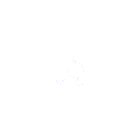 CN1CCC2(CC2)C(N)C1